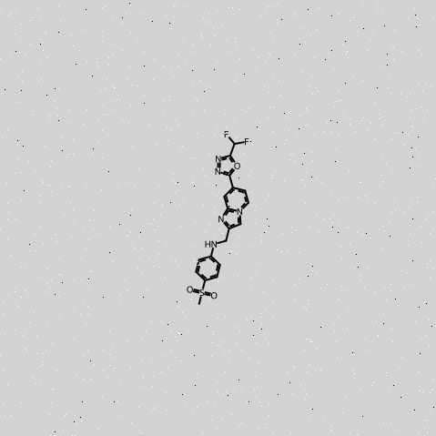 CS(=O)(=O)c1ccc(NCc2cn3ccc(-c4nnc(C(F)F)o4)cc3n2)cc1